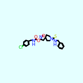 O=C(NCc1ccc(Cl)cc1)OC1=NOC2(CCN(C(=S)NCc3ccccc3)CC2)C1